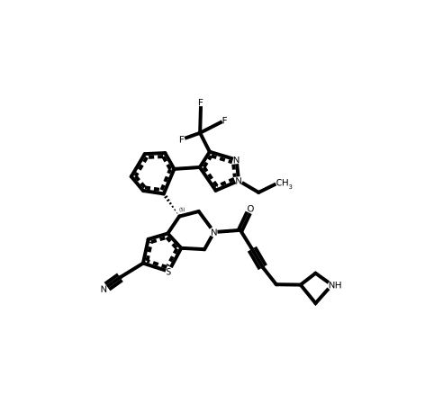 CCn1cc(-c2ccccc2[C@@H]2CN(C(=O)C#CCC3CNC3)Cc3sc(C#N)cc32)c(C(F)(F)F)n1